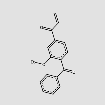 C=CC(=O)c1ccc(C(=O)c2ccccc2)c(OCC)c1